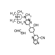 CN(c1ncc(-c2ccc(-c3cc(C#N)c4nccn4n3)cc2O)nn1)C1CC(C)(C)NC(C)(C)C1.O=CO